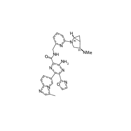 CN[C@H]1CN(c2cccc(CNC(=O)c3nc(-c4ccc5ncc(C)n5c4)c(-c4ncco4)nc3N)n2)[C@@H]2CC12